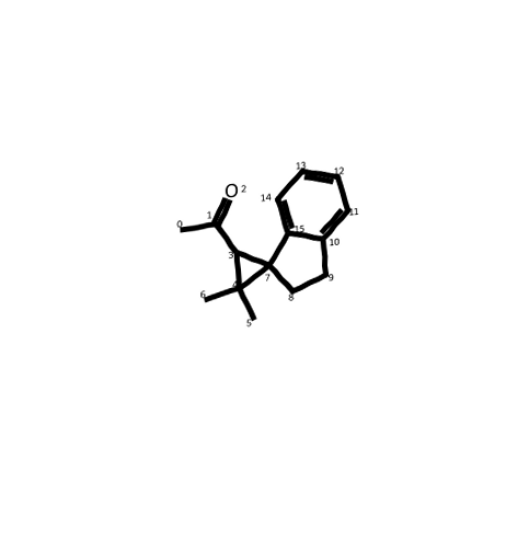 CC(=O)C1C(C)(C)C12CCc1ccccc12